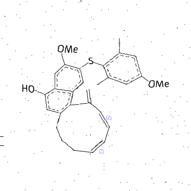 C=C1/C=C\C=C/CCCc2cc(O)c3cc(OC)c(Sc4c(C)cc(OC)cc4C)cc3c21